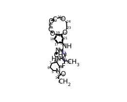 C=CC(=O)N1CCC[C@H](NC(/N=C(\N=C)Nc2ccc3c(c2)OCCOCCOCCO3)=C(/C)F)C1